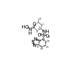 CCCC(CC(=O)NO)NS(=O)(=O)c1cccc2nsnc12